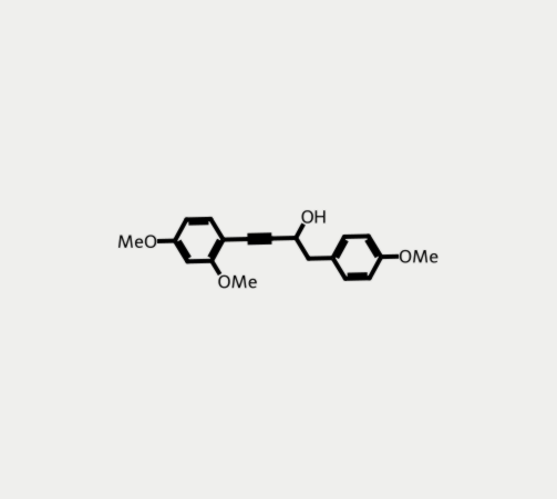 COc1ccc(CC(O)C#Cc2ccc(OC)cc2OC)cc1